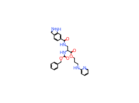 O=C(NC(CNC(=O)c1ccc2cn[nH]c2c1)C(=O)OCCCNc1ccccn1)OCc1ccccc1